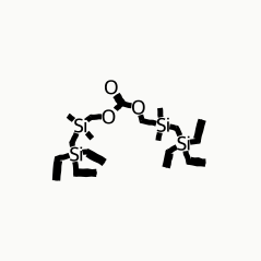 C=C[Si](C=C)(C=C)C[Si](C)(C)COC(=O)OC[Si](C)(C)C[Si](C=C)(C=C)C=C